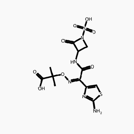 CC(C)(ON=C(C(=O)NC1CN(S(=O)(=O)O)C1=O)c1csc(N)n1)C(=O)O